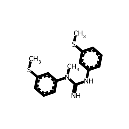 CSc1cccc(NC(=N)N(C)c2cccc(SC)c2)c1